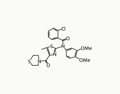 COc1ccc(N(C(=O)c2ccccc2Cl)c2nc(C(=O)N3CCSCC3)c(C)s2)cc1OC